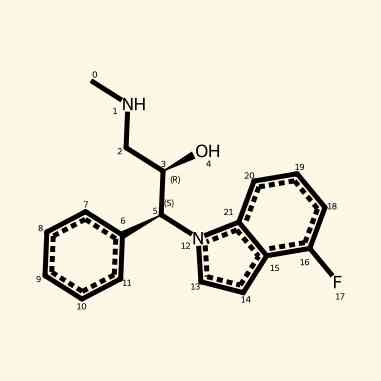 CNC[C@@H](O)[C@H](c1ccccc1)n1ccc2c(F)cccc21